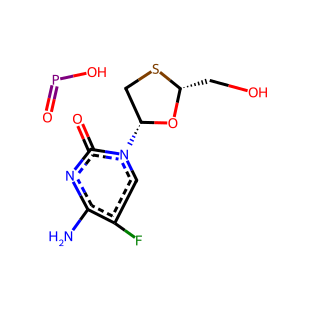 Nc1nc(=O)n([C@@H]2CS[C@H](CO)O2)cc1F.O=PO